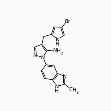 Cc1nc2cc(-n3ncc(Cc4cc(Br)c[nH]4)c3N)ccc2[nH]1